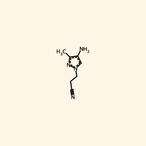 Cc1nn(CCC#N)cc1N